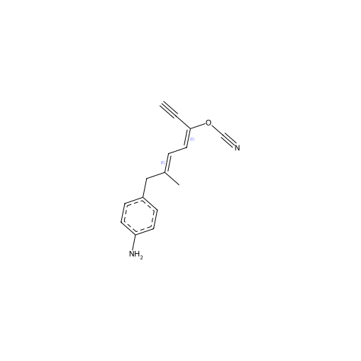 C#C/C(=C\C=C(/C)Cc1ccc(N)cc1)OC#N